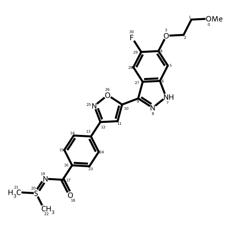 COCCOc1cc2[nH]nc(-c3cc(-c4ccc(C(=O)N=S(C)C)cc4)no3)c2cc1F